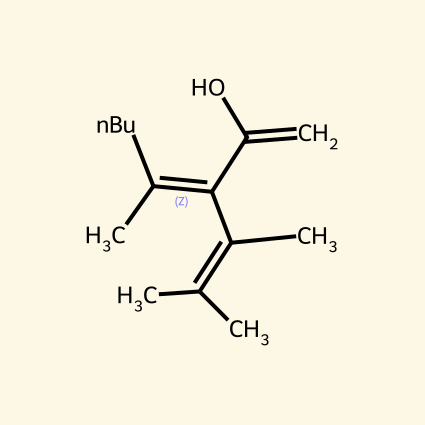 C=C(O)/C(C(C)=C(C)C)=C(/C)CCCC